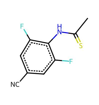 CC(=S)Nc1c(F)cc(C#N)cc1F